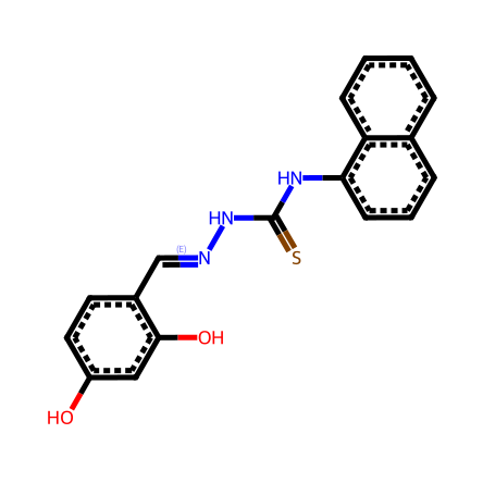 Oc1ccc(/C=N/NC(=S)Nc2cccc3ccccc23)c(O)c1